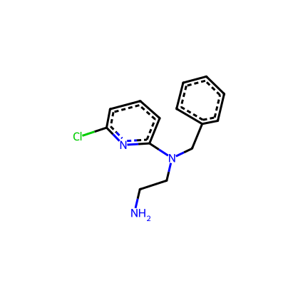 NCCN(Cc1ccccc1)c1cccc(Cl)n1